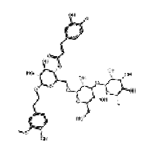 COc1cc(CCO[C@@H]2O[C@H](CO[C@@H]3O[C@H](CO)[C@@H](O)[C@H](O[C@@H]4O[C@@H](C)[C@H](O)[C@@H](O)[C@H]4O)[C@H]3O)[C@@H](OC(=O)/C=C/c3ccc(O)c(O)c3)[C@H](O)[C@H]2O)ccc1O